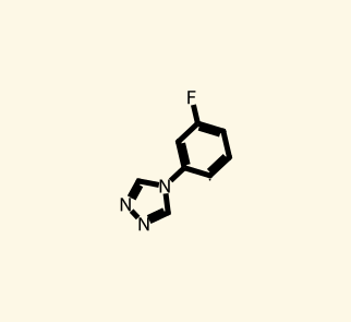 Fc1cc[c]c(-n2cnnc2)c1